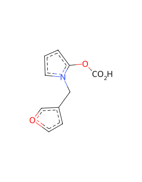 O=C(O)Oc1cccn1Cc1ccoc1